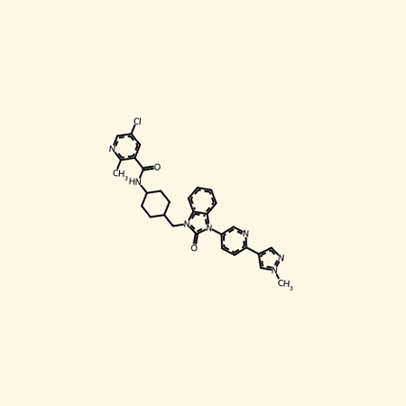 Cc1ncc(Cl)cc1C(=O)NC1CCC(Cn2c(=O)n(-c3ccc(-c4cnn(C)c4)nc3)c3ccccc32)CC1